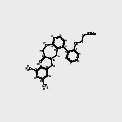 COCCOc1ccccc1-c1ccnc2c1CN(Cc1cc(C(F)(F)F)cc(C(F)(F)F)c1)C(=O)CO2